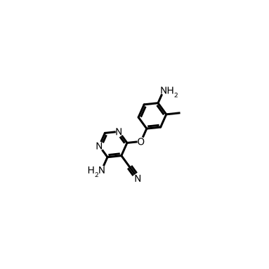 Cc1cc(Oc2ncnc(N)c2C#N)ccc1N